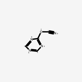 N#COc1ncncn1